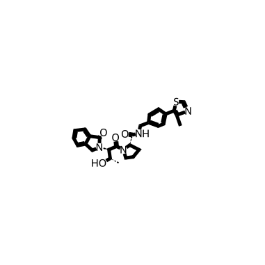 Cc1ncsc1-c1ccc(CNC(=O)[C@@H]2CCCN2C(=O)[C@H]([C@H](C)O)N2Cc3ccccc3C2=O)cc1